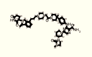 C=C1c2cccc(CCCN3CCN(CC(=O)N4CCC(C)(c5ccc(Nc6nc(N7CCC[C@@H](N8CCN(C)C8=O)C7)cnc6C(N)=O)cc5)CC4)CC3)c2CN1C1CCC(=O)NC1=O